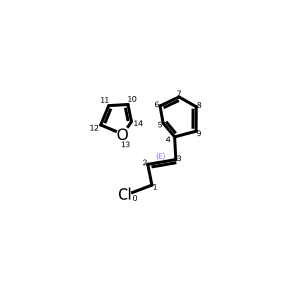 ClC/C=C/c1ccccc1.c1ccoc1